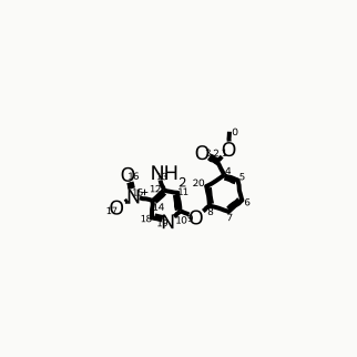 COC(=O)c1cccc(Oc2cc(N)c([N+](=O)[O-])cn2)c1